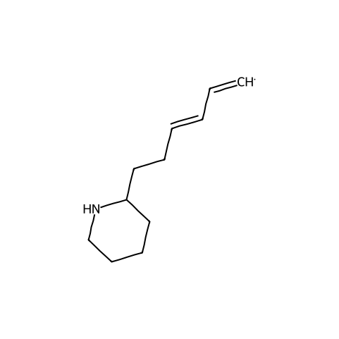 [CH]=CC=CCCC1CCCCN1